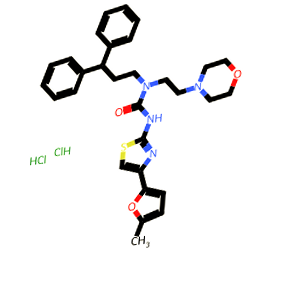 Cc1ccc(-c2csc(NC(=O)N(CCC(c3ccccc3)c3ccccc3)CCN3CCOCC3)n2)o1.Cl.Cl